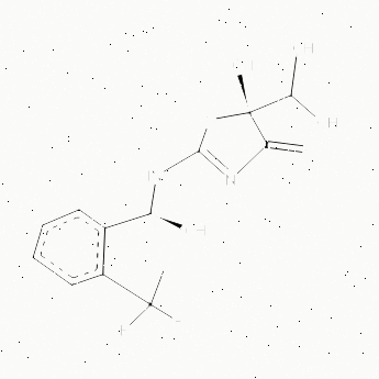 CC(C)[C@@]1(C)SC(N[C@@H](C)c2ccccc2C(F)(F)F)=NC1=O